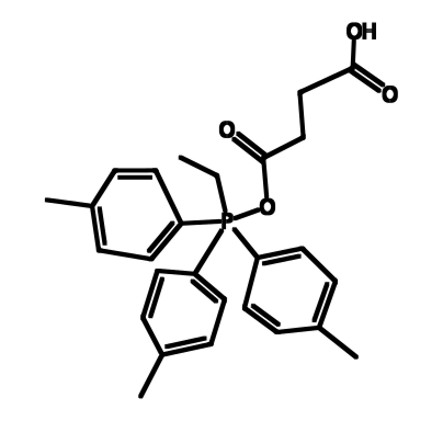 CCP(OC(=O)CCC(=O)O)(c1ccc(C)cc1)(c1ccc(C)cc1)c1ccc(C)cc1